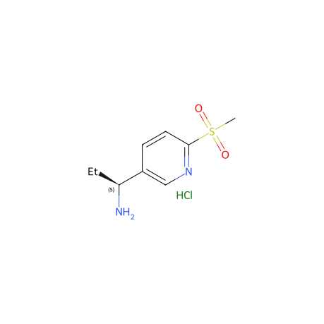 CC[C@H](N)c1ccc(S(C)(=O)=O)nc1.Cl